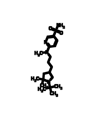 CN(CCCC1CN(C(C)(C)C)C(C)(C)C1)c1ccc(S(N)(=O)=O)cn1